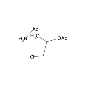 CC(=O)OC(C)CCl.CC(N)=O